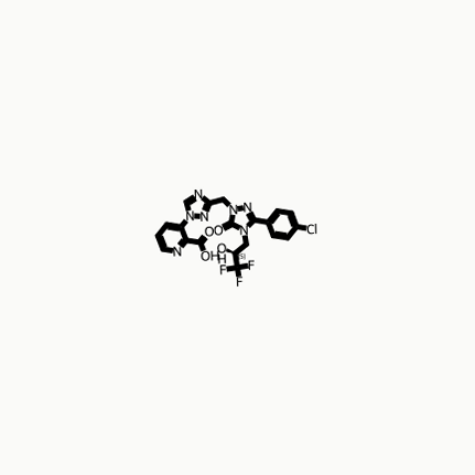 O=C(O)c1ncccc1-n1cnc(Cn2nc(-c3ccc(Cl)cc3)n(C[C@H](O)C(F)(F)F)c2=O)n1